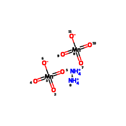 [NH4+].[NH4+].[O]=[Mn](=[O])(=[O])[O-].[O]=[Mn](=[O])(=[O])[O-]